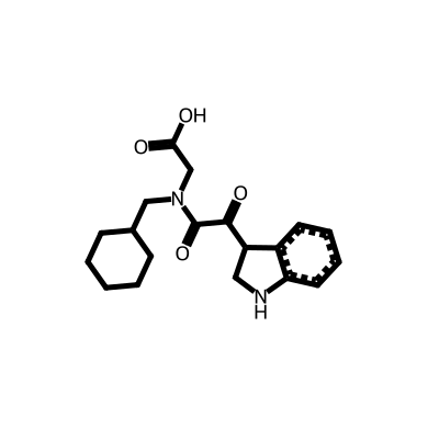 O=C(O)CN(CC1CCCCC1)C(=O)C(=O)C1CNc2ccccc21